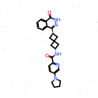 O=C(N[C@H]1CC2(C1)C[C@H](c1n[nH]c(=O)c3ccccc31)C2)c1ccc(N2CCCC2)cn1